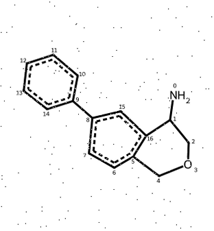 NC1COCc2ccc(-c3ccccc3)cc21